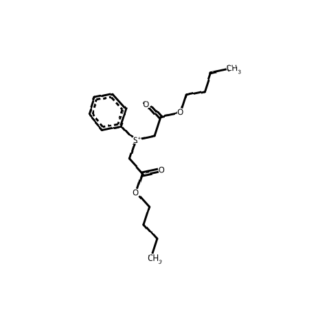 CCCCOC(=O)C[S+](CC(=O)OCCCC)c1ccccc1